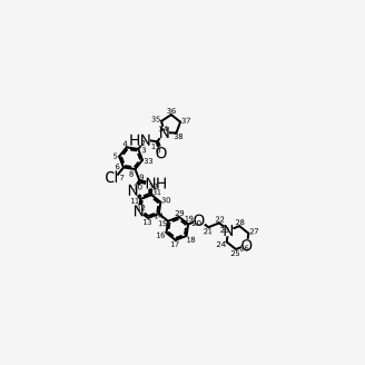 O=C(Nc1ccc(Cl)c(-c2nc3ncc(-c4cccc(OCCN5CCOCC5)c4)cc3[nH]2)c1)N1CCCC1